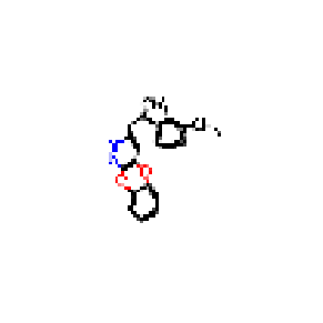 Cc1cccc(C(C)Cc2cc3c(nn2)Oc2ccccc2O3)c1